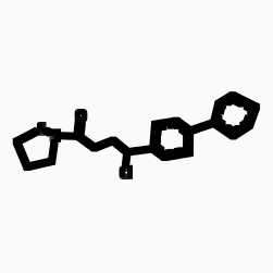 O=C(CCC(Cl)c1ccc(-c2ccccc2)cc1)N1CCCS1